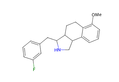 COc1cccc2c1CCC1C(Cc3cccc(F)c3)NCC21